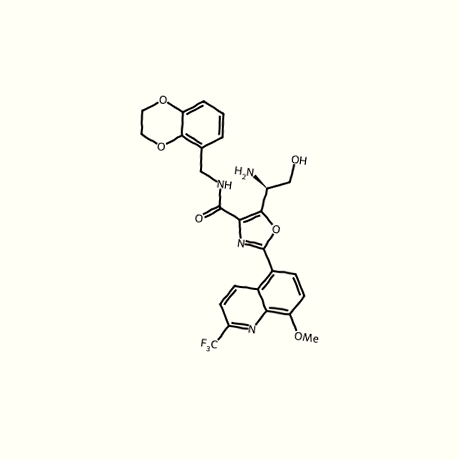 COc1ccc(-c2nc(C(=O)NCc3cccc4c3OCCO4)c([C@@H](N)CO)o2)c2ccc(C(F)(F)F)nc12